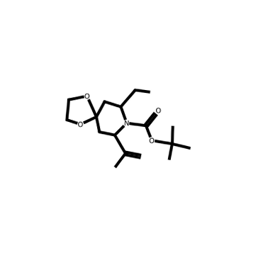 C=C(C)C1CC2(CC(CC)N1C(=O)OC(C)(C)C)OCCO2